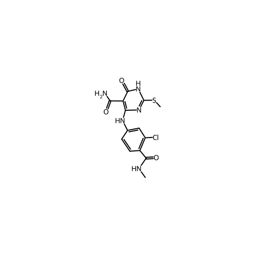 CNC(=O)c1ccc(Nc2nc(SC)[nH]c(=O)c2C(N)=O)cc1Cl